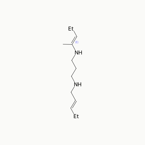 CCC=CCNCCCN/C(C)=C/CC